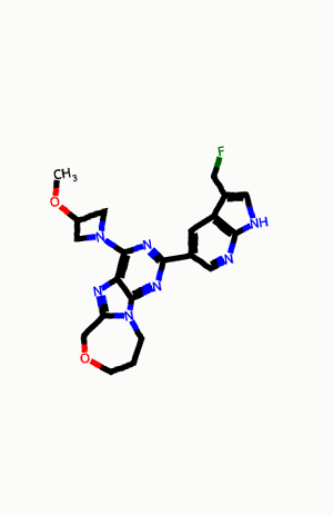 COC1CN(c2nc(-c3cnc4[nH]cc(CF)c4c3)nc3c2nc2n3CCCOC2)C1